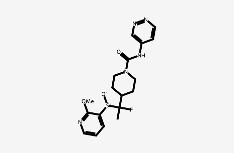 COc1ncccc1[S+]([O-])C(C)(F)C1CCN(C(=O)Nc2ccnnc2)CC1